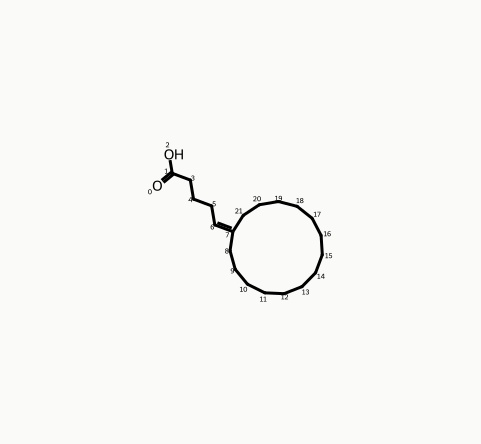 O=C(O)CCCC=C1CCCCCCCCCCCCCC1